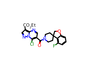 CCOC(=O)c1cnn2c(Cl)c(C(=O)N3CCC4(CC3)COc3cccc(F)c34)cnc12